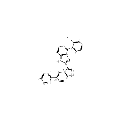 Fc1ccccc1-c1nccc2[nH]c(-c3n[nH]c4ncc(-c5ccccn5)cc34)nc12